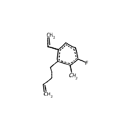 C=CCCc1c(C=C)ccc(F)c1C